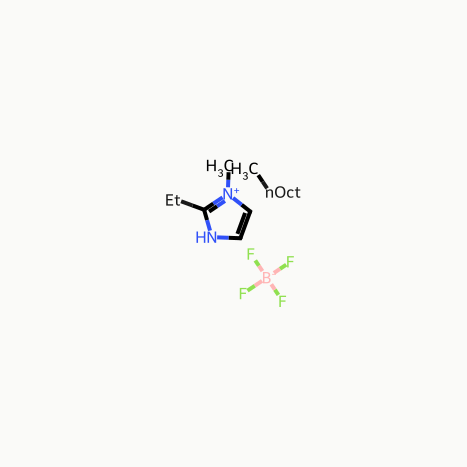 CCCCCCCCC.CCc1[nH]cc[n+]1C.F[B-](F)(F)F